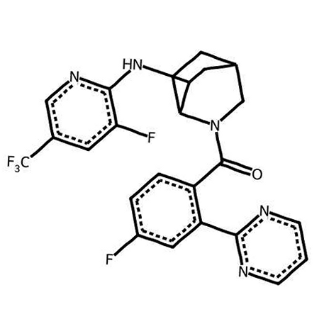 O=C(c1ccc(F)cc1-c1ncccn1)N1CC2CCC1C(Nc1ncc(C(F)(F)F)cc1F)C2